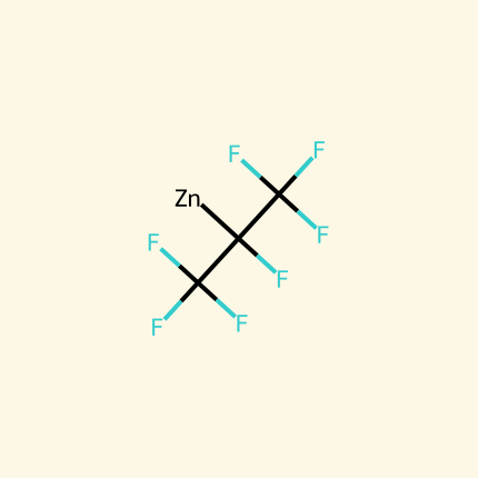 FC(F)(F)[C](F)([Zn])C(F)(F)F